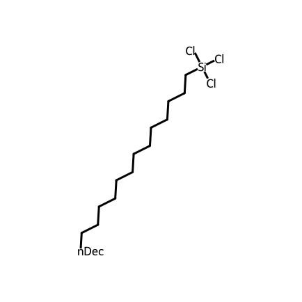 CCCCCCCCCCCCCCCCCCCCCCC[Si](Cl)(Cl)Cl